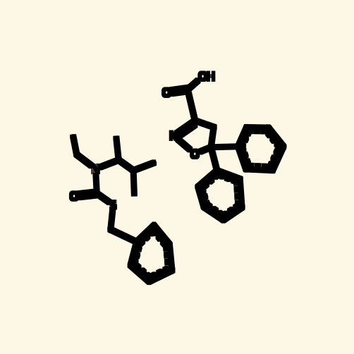 CCN(C(=O)SCc1ccccc1)C(C)C(C)C.O=C(O)C1=NOC(c2ccccc2)(c2ccccc2)C1